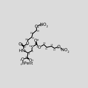 CCCCCOC(=O)C(CSC(=O)OCCCCO[N+](=O)[O-])NC(=O)OCCCCO[N+](=O)[O-]